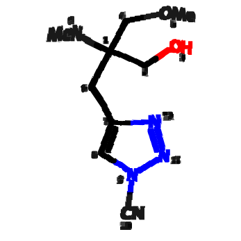 CNC(CO)(COC)Cc1cn(C#N)nn1